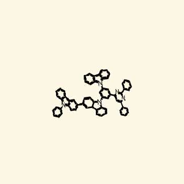 C1=CC2C(C=C1c1ccc3c(c1)c1ccccc1n3-c1ccccc1)c1ccccc1N2c1cc(-c2cc(-c3ccccc3)nc(-c3ccccc3)n2)cc(-n2c3ccccc3c3ccccc32)c1